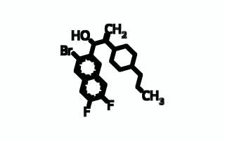 C=C(C1CCC(CCC)CC1)C(O)c1cc2cc(F)c(F)cc2cc1Br